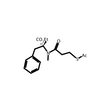 CCOC(=O)[C@H](Cc1ccccc1)N(C)C(=O)CCSC(C)=O